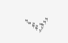 Br.Br.Br.I.I.I.I.[Ti].[Ti]